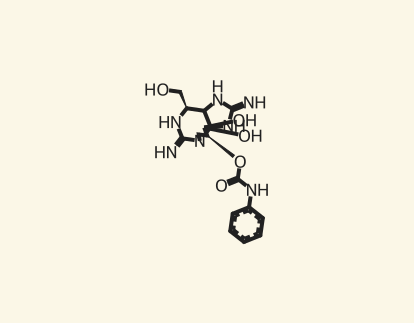 N=C1NC2[C@H](CO)NC(=N)N3C[C@H](OC(=O)Nc4ccccc4)C(O)(O)C23N1